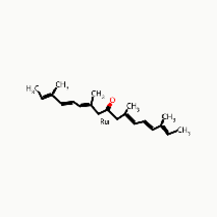 C/C=C(C)/C=C/C=C(\C)CC(=O)C/C(C)=C/C=C/C(C)=C/C.[Ru]